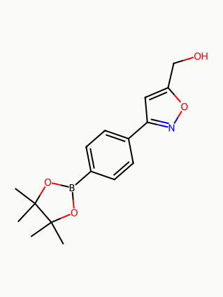 CC1(C)OB(c2ccc(-c3cc(CO)on3)cc2)OC1(C)C